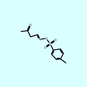 CC(=O)CC=NOS(=O)(=O)c1ccc(C)cc1